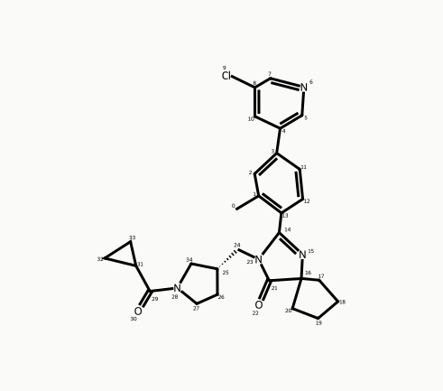 Cc1cc(-c2cncc(Cl)c2)ccc1C1=NC2(CCCC2)C(=O)N1C[C@@H]1CCN(C(=O)C2CC2)C1